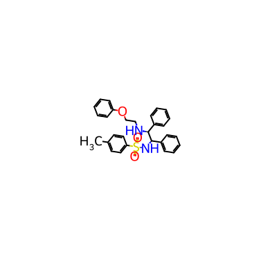 Cc1ccc(S(=O)(=O)N[C@H](c2ccccc2)[C@@H](NCCOc2ccccc2)c2ccccc2)cc1